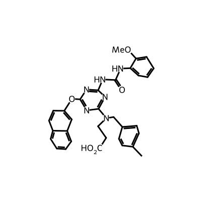 COc1ccccc1NC(=O)Nc1nc(Oc2ccc3ccccc3c2)nc(N(CCC(=O)O)Cc2ccc(C)cc2)n1